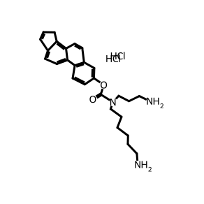 Cl.Cl.NCCCCCCN(CCCN)C(=O)Oc1ccc2c(ccc3c4c(ccc32)C=CC4)c1